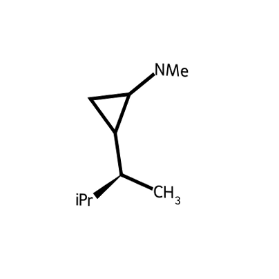 CNC1CC1[C@@H](C)C(C)C